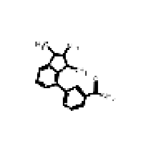 CC1c2cccc(-c3cccc(C(N)=O)c3)c2C(C)C1C